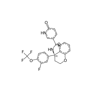 O=C(N[C@]1(c2ccc(OC(F)(F)F)c(F)c2)CCOc2cccnc21)c1ccc(=O)[nH]c1